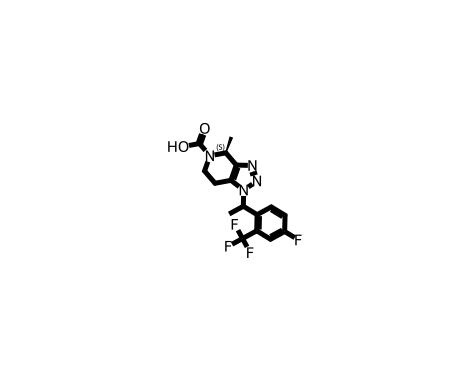 CC(c1ccc(F)cc1C(F)(F)F)n1nnc2c1CCN(C(=O)O)[C@H]2C